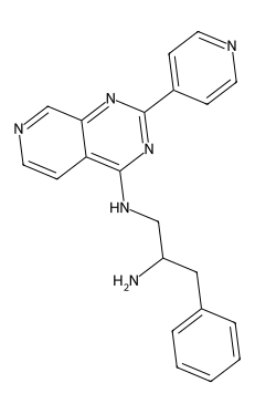 NC(CNc1nc(-c2ccncc2)nc2cnccc12)Cc1ccccc1